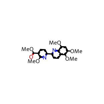 COC(=O)c1ccc(-c2ccc3c(OC)c(OC)cc(OC)c3n2)nc1OC